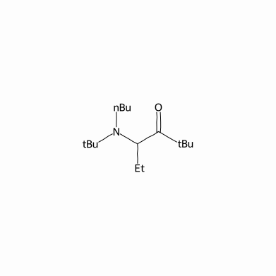 CCCCN(C(CC)C(=O)C(C)(C)C)C(C)(C)C